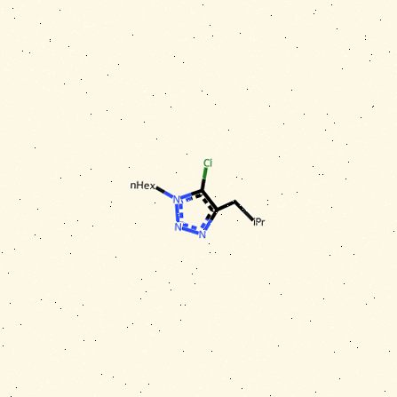 CCCCCCn1nnc(CC(C)C)c1Cl